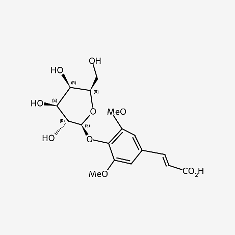 COc1cc(C=CC(=O)O)cc(OC)c1O[C@@H]1O[C@H](CO)[C@H](O)[C@H](O)[C@H]1O